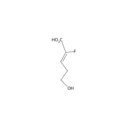 O=C(O)C(F)=CCCO